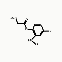 COCC(=O)Nc1cnc(Br)cc1NC(C)C